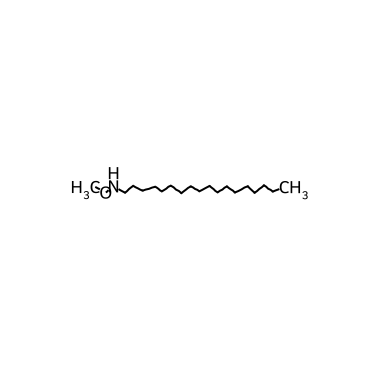 CCCCCCCCCCCCCCCCCCNOC